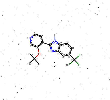 Cn1c(-c2ccncc2OC(C)(C)C)nc2cc(C(F)(F)F)ccc21